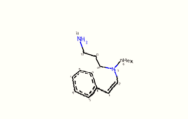 CCCCCCN(/C=C\c1ccccc1)CCCN